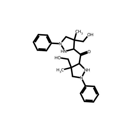 CC1(CO)CN(c2ccccc2)NC1C(=O)C1NN(c2ccccc2)CC1(C)CO